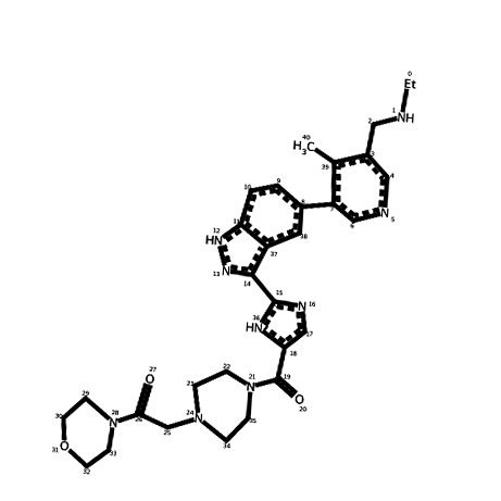 CCNCc1cncc(-c2ccc3[nH]nc(-c4ncc(C(=O)N5CCN(CC(=O)N6CCOCC6)CC5)[nH]4)c3c2)c1C